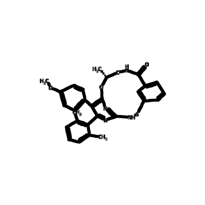 COc1ccc(-c2c3nc(nc2-c2c(C)cccc2C)NSc2cccc(c2)C(=O)NC[C@@H](C)O3)cc1